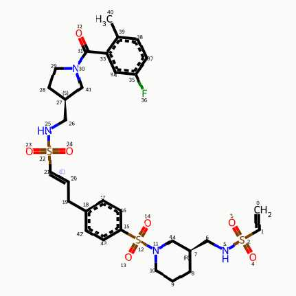 C=CS(=O)(=O)NC[C@H]1CCCN(S(=O)(=O)c2ccc(C/C=C/S(=O)(=O)NC[C@H]3CCN(C(=O)c4cc(F)ccc4C)C3)cc2)C1